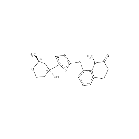 C[C@H]1C[C@@](O)(c2cnc(Sc3cccc4c3N(C)C(=O)CC4)s2)CCO1